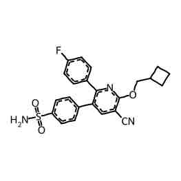 N#Cc1cc(-c2ccc(S(N)(=O)=O)cc2)c(-c2ccc(F)cc2)nc1OCC1CCC1